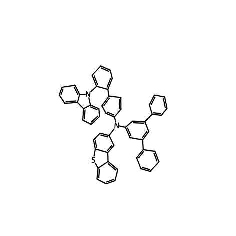 c1ccc(-c2cc(-c3ccccc3)cc(N(c3ccc(-c4ccccc4-n4c5ccccc5c5ccccc54)cc3)c3ccc4sc5ccccc5c4c3)c2)cc1